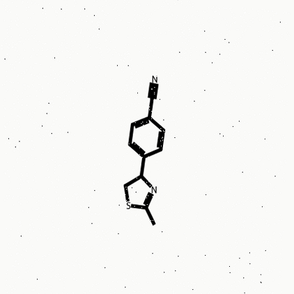 CC1=NC(c2ccc(C#N)cc2)CS1